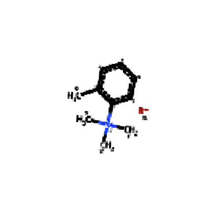 Cc1ccccc1[N+](C)(C)C.[Br-]